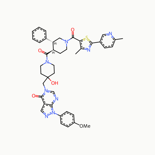 COc1ccc(-n2ncc3c(=O)n(CC4(O)CCN(C(=O)[C@@H]5CCN(C(=O)c6sc(-c7ccc(C)nc7)nc6C)C[C@H]5c5ccccc5)CC4)cnc32)cc1